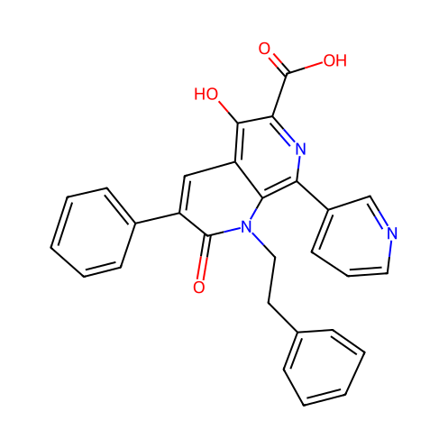 O=C(O)c1nc(-c2cccnc2)c2c(cc(-c3ccccc3)c(=O)n2CCc2ccccc2)c1O